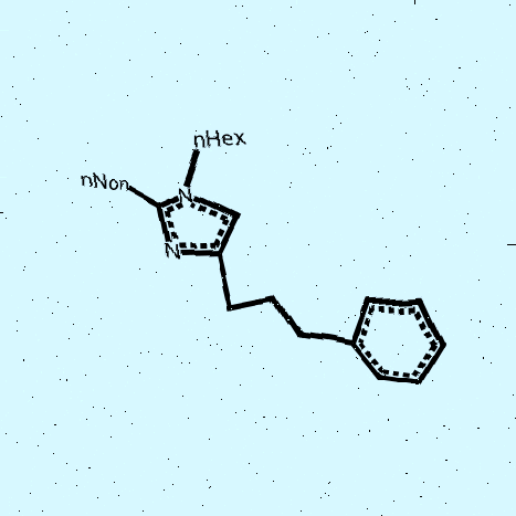 CCCCCCCCCc1nc(CCCc2ccccc2)cn1CCCCCC